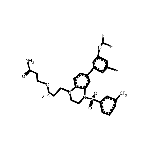 C[C@@H](CCN1CCN(S(=O)(=O)c2cccc(C(F)(F)F)c2)c2cc(-c3cc(F)cc(OC(F)F)c3)ccc21)OCCC(N)=O